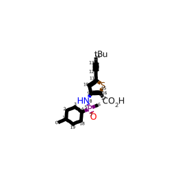 CC1CCC(P(C)(=O)Nc2cc(C#CC(C)(C)C)sc2C(=O)O)CC1